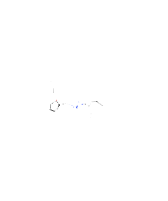 CCC[SiH2]N=NCc1ccccc1OCC